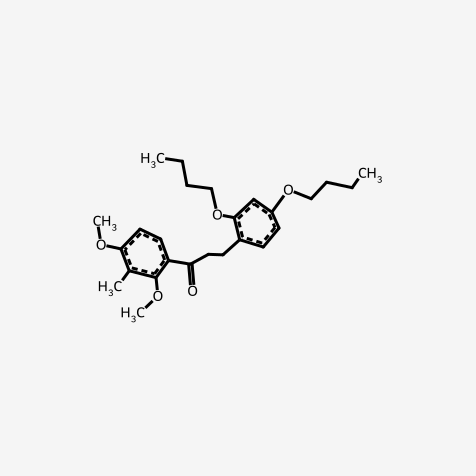 CCCCOc1ccc(CCC(=O)c2ccc(OC)c(C)c2OC)c(OCCCC)c1